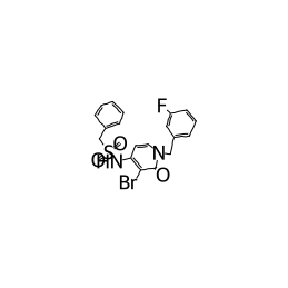 O=c1c(Br)c(NS(=O)(=O)Cc2ccccc2)ccn1Cc1cccc(F)c1